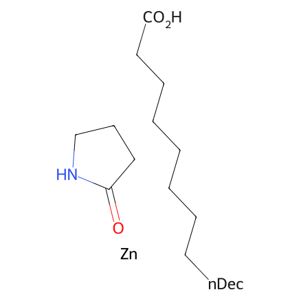 CCCCCCCCCCCCCCCCCC(=O)O.O=C1CCCN1.[Zn]